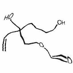 C=CC(O)(CCO)COC=O